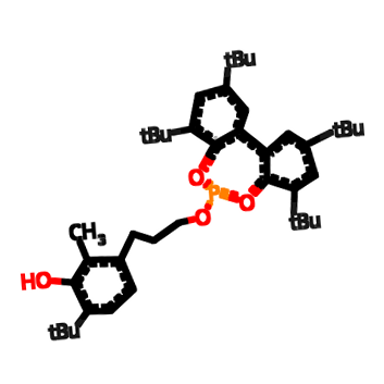 Cc1c(CCCOp2oc3c(C(C)(C)C)cc(C(C)(C)C)cc3c3cc(C(C)(C)C)cc(C(C)(C)C)c3o2)ccc(C(C)(C)C)c1O